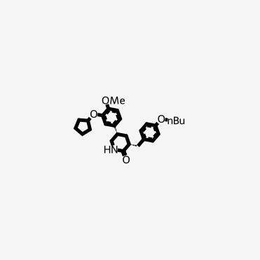 CCCCOc1ccc(C[C@H]2C[C@@H](c3ccc(OC)c(OC4CCCC4)c3)CNC2=O)cc1